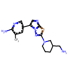 NCC1CCCN(c2nn3c(-c4cnc(N)c(C(F)(F)F)c4)cnc3s2)C1